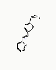 C=Cc1ccc(/C=C/c2ccccn2)cc1